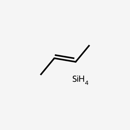 CC=CC.[SiH4]